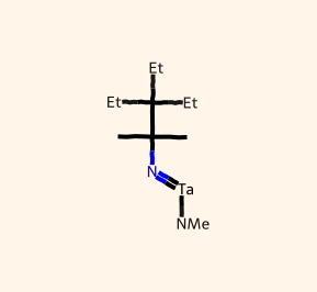 CCC(CC)(CC)C(C)(C)[N]=[Ta][NH]C